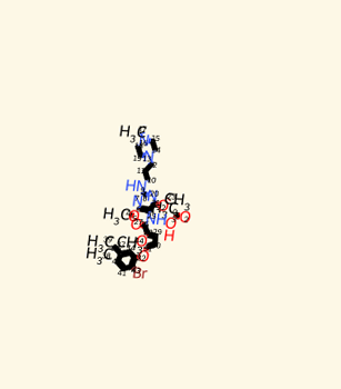 CC(=O)O.COc1nc(NCCCN2CCN(C)CC2)nc(OC)c1NC(=O)c1ccc(Oc2cc(C(C)(C)C)ccc2Br)o1